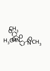 COc1ccc(C(=O)Nc2cccc(-c3coc(C)n3)c2)c(OC)c1